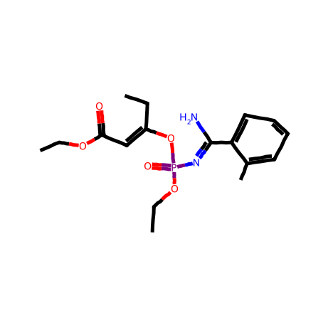 CCOC(=O)C=C(CC)OP(=O)(N=C(N)c1ccccc1C)OCC